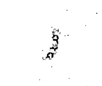 COc1ccc(Cn2cc(Oc3ccc(Cl)nc3)c(I)n2)cc1